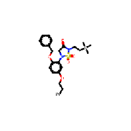 CC(C)CCOc1ccc(OCc2ccccc2)c(N2CC(=O)N(CC[Si](C)(C)C)S2(=O)=O)c1